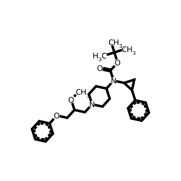 COC(COc1ccccc1)CN1CCC(N(C(=O)OC(C)(C)C)C2CC2c2ccccc2)CC1